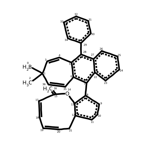 BC1(C)C=Cc2c(c(-c3cccc4c3OC(=C)/C=C\C=C/C4)c3ccccc3c2-c2ccccc2)C=C1